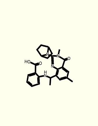 Cc1cc(C(C)Nc2ccccc2C(=O)O)c2nc(N3C4CCC3CC4)n(C)c(=O)c2c1